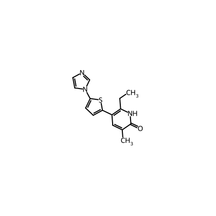 CCc1[nH]c(=O)c(C)cc1-c1ccc(-n2ccnc2)s1